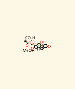 COC(C)(C)O[C@@H]1C[C@H]2[C@@H]3CCC4=CC(=O)C=C[C@]4(C)[C@@]3(F)[C@@H](O)C[C@]2(C)[C@H]1C(=O)COC(=O)C1CC1C(=O)O